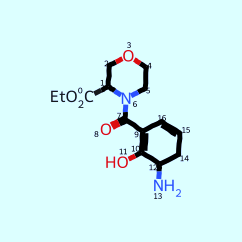 CCOC(=O)C1COCCN1C(=O)C1=C(O)C(N)CC=C1